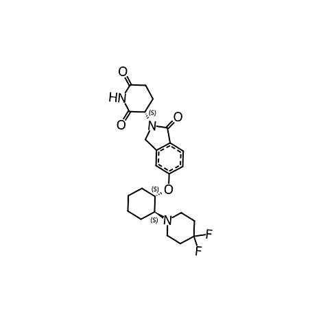 O=C1CC[C@H](N2Cc3cc(O[C@H]4CCCC[C@@H]4N4CCC(F)(F)CC4)ccc3C2=O)C(=O)N1